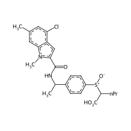 CCCC(C(=O)O)[S+]([O-])c1ccc(C(C)NC(=O)c2cc3c(Cl)cc(C)cc3n2C)cc1